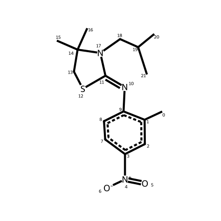 Cc1cc([N+](=O)[O-])ccc1/N=C1\SCC(C)(C)N1CC(C)C